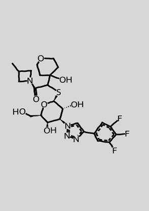 CC1CN(C(=O)C(S[C@@H]2O[C@H](CO)[C@H](O)[C@H](n3cc(-c4cc(F)c(F)c(F)c4)nn3)[C@H]2O)C2(O)CCOCC2)C1